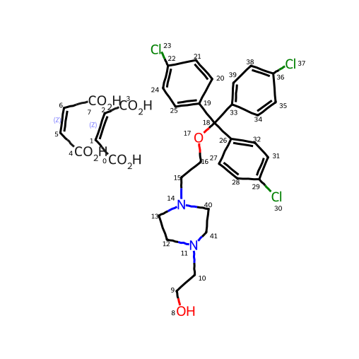 O=C(O)/C=C\C(=O)O.O=C(O)/C=C\C(=O)O.OCCN1CCN(CCOC(c2ccc(Cl)cc2)(c2ccc(Cl)cc2)c2ccc(Cl)cc2)CC1